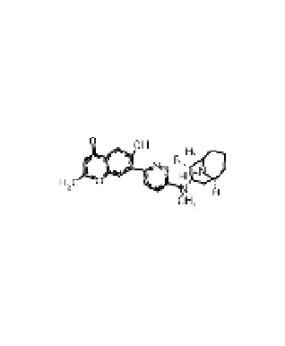 Cc1cc(=O)c2cc(O)c(-c3ccc(N(C)[C@H]4C[C@@H]5CCC[C@H]([C@H]4F)N5C)nn3)cc2o1